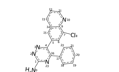 Nc1nnc(-c2cc(Cl)c3ncccc3c2)c(-c2ccccc2)n1